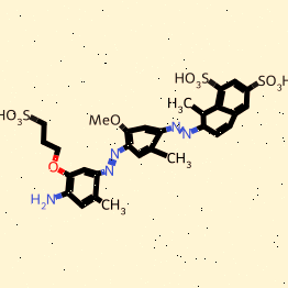 COc1cc(N=NC2C=Cc3cc(S(=O)(=O)O)cc(S(=O)(=O)O)c3C2C)c(C)cc1N=Nc1cc(OCCCS(=O)(=O)O)c(N)cc1C